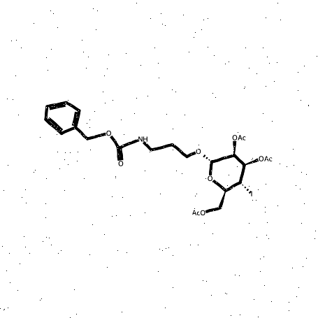 CC(=O)OC[C@H]1O[C@H](OCCCNC(=O)OCc2ccccc2)[C@@H](OC(C)=O)[C@@H](OC(C)=O)[C@@H]1I